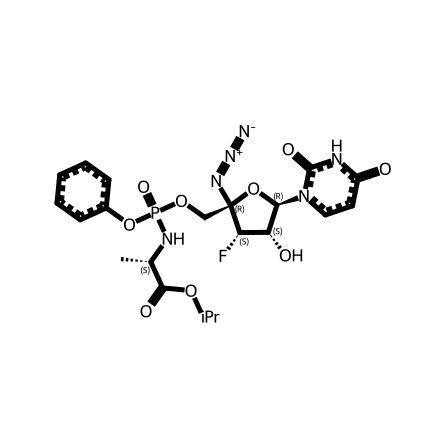 CC(C)OC(=O)[C@H](C)NP(=O)(OC[C@@]1(N=[N+]=[N-])O[C@@H](n2ccc(=O)[nH]c2=O)[C@H](O)[C@@H]1F)Oc1ccccc1